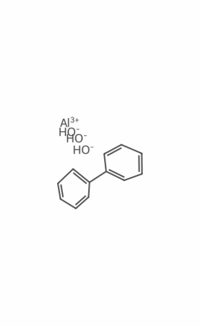 [Al+3].[OH-].[OH-].[OH-].c1ccc(-c2ccccc2)cc1